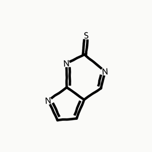 S=C1N=CC2=CC=NC2=N1